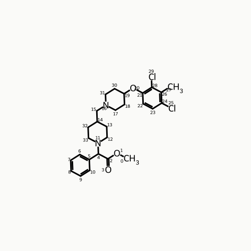 COC(=O)C(c1ccccc1)N1CCC(CN2CCC(Oc3ccc(Cl)c(C)c3Cl)CC2)CC1